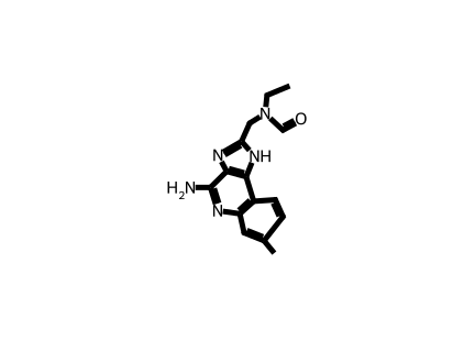 CCN(C=O)Cc1nc2c(N)nc3cc(C)ccc3c2[nH]1